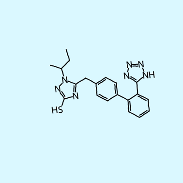 CCC(C)n1nc(S)nc1Cc1ccc(-c2ccccc2-c2nnn[nH]2)cc1